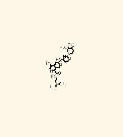 CC(C)c1cnc(C(=O)NCCN(C)C)c2cnc(Nc3ccnc(N4CC[C@@H](O)[C@@](C)(F)C4)n3)cc12